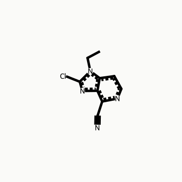 CCn1c(Cl)nc2c(C#N)nccc21